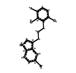 Fc1ccc(Cl)c(COCc2c[nH]c3ncc(Br)nc23)c1Cl